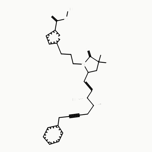 COC(=O)c1ccc(CCCN2C(=O)C(F)(F)CC2C=C[C@@H](O)[C@H](C)CC#CCc2ccccc2)s1